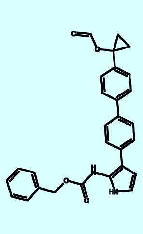 O=COC1(c2ccc(-c3ccc(-c4cc[nH]c4NC(=O)OCc4ccccc4)cc3)cc2)CC1